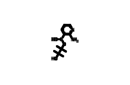 CC(C)(O)C(C)(C)OB(O)c1cccnc1N